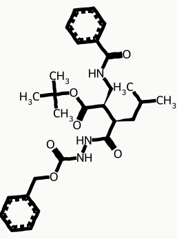 CC(C)C[C@@H](C(=O)NNC(=O)OCc1ccccc1)[C@H](CNC(=O)c1ccccc1)C(=O)OC(C)(C)C